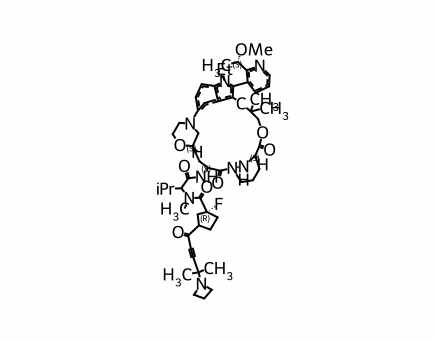 CCn1c(-c2cccnc2[C@H](C)OC)c2c3cc(ccc31)N1CCO[C@@H](C[C@H](NC(=O)C(C(C)C)N(C)C(=O)[C@@]3(F)CCC(C(=O)C#CC(C)(C)N4CCC4)C3)C(=O)N3CCC[C@H](N3)C(=O)OCC(C)(C)C2)C1